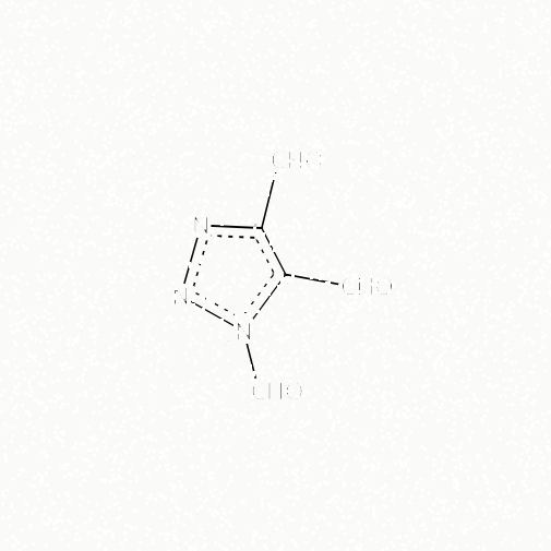 O=Cc1nnn(C=O)c1C=O